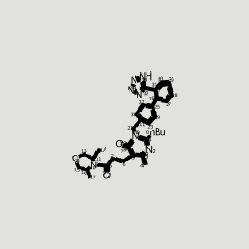 CCCCc1nc(C)c(CCC(=O)N2C(C)COCC2C)c(=O)n1Cc1ccc(-c2ccccc2-c2nnn[nH]2)cc1